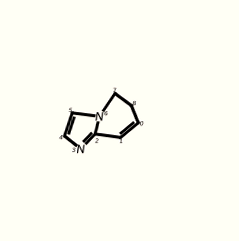 C1=Cc2nccn2CC1